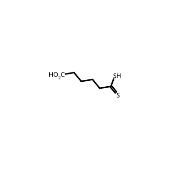 O=C(O)CCCCC(=S)S